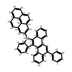 c1ccc(-c2cc3c4ccccc4c4c(c5ccccc5n4-c4cc5ccc6cccc7ccc(c4)c5c67)c3c3ccccc23)cc1